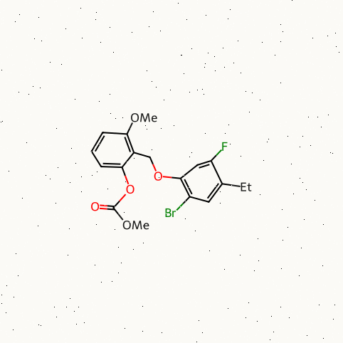 CCc1cc(Br)c(OCc2c(OC)cccc2OC(=O)OC)cc1F